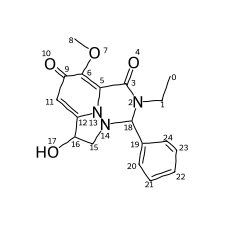 CCN1C(=O)c2c(OC)c(=O)cc3n2N(CC3O)C1c1ccccc1